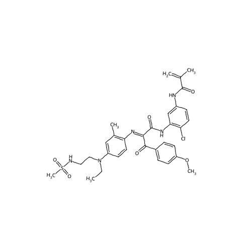 C=C(C)C(=O)Nc1ccc(Cl)c(NC(=O)/C(=N/c2ccc(N(CC)CCNS(C)(=O)=O)cc2C)C(=O)c2ccc(OC)cc2)c1